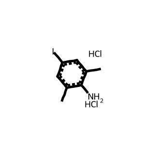 Cc1cc(I)cc(C)c1N.Cl.Cl